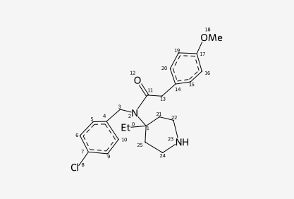 CCC1(N(Cc2ccc(Cl)cc2)C(=O)Cc2ccc(OC)cc2)CCNCC1